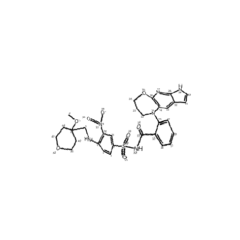 COC1(CNc2ccc(S(=O)(=O)NC(=O)c3ccccc3N3CCCOc4nc5[nH]ccc5cc43)cc2[N+](=O)[O-])CCOCC1